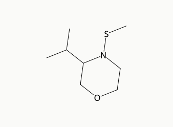 CSN1CCOCC1C(C)C